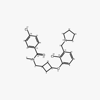 CN(CC1CC(Oc2cccc(CN3CCCC3)c2Cl)C1)C(=O)c1ccc(Cl)cc1